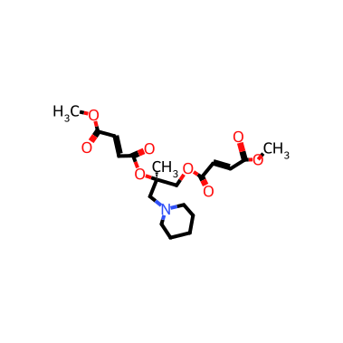 COC(=O)/C=C/C(=O)OC[C@@](C)(CN1CCCCC1)OC(=O)/C=C/C(=O)OC